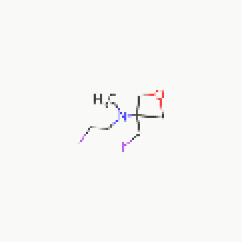 CN(CCI)C1(CI)COC1